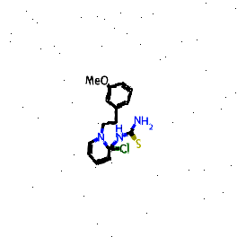 COc1cccc(CCN2C=CC=CC2(Cl)NC(N)=S)c1